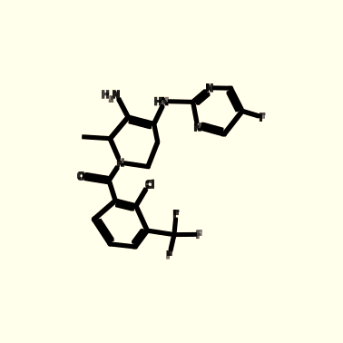 CC1C(N)=C(Nc2ncc(F)cn2)CCN1C(=O)c1cccc(C(F)(F)F)c1Cl